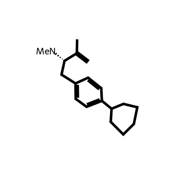 C=C(C)[C@H](Cc1ccc(C2CCCCC2)cc1)NC